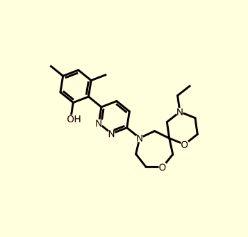 CCN1CCOC2(COCCN(c3ccc(-c4c(C)cc(C)cc4O)nn3)C2)C1